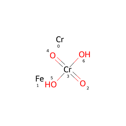 [Cr].[Fe].[O]=[Cr](=[O])([OH])[OH]